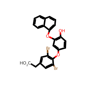 O=C(O)Cc1cc(Br)c(Oc2ccc(O)c(Oc3cccc4ccccc34)c2)c(Br)c1